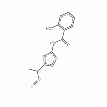 CC([S+]=O)c1csc(NC(=O)c2ccccc2O)n1